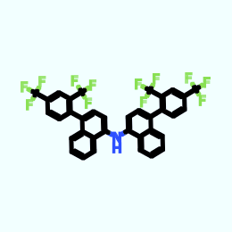 FC(F)(F)c1ccc(-c2ccc(Nc3ccc(-c4ccc(C(F)(F)F)cc4C(F)(F)F)c4ccccc34)c3ccccc23)c(C(F)(F)F)c1